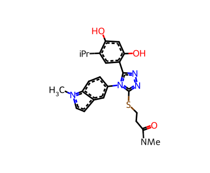 CNC(=O)CCSc1nnc(-c2cc(C(C)C)c(O)cc2O)n1-c1ccc2c(ccn2C)c1